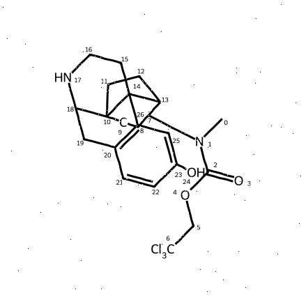 CN(C(=O)OCC(Cl)(Cl)Cl)C1CCC23CCC1C21CCNC3Cc2ccc(O)cc21